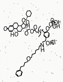 CC[N+](CC)(CC(=O)OCC(=O)[C@H]1[C@H]2O[C@H](C3CCCCC3)OC2C2C3CCC4=CC(=O)C=C[C@]4(C)C3[C@@H](O)C[C@@]21C)Cc1cc(C(O)CNCCCCCCOCCCCc2ccccc2)ccc1OCOP(=O)(O)O.[Cl-]